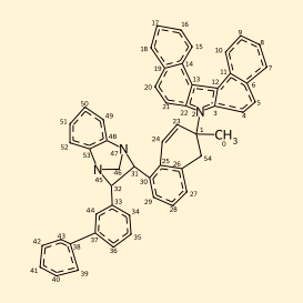 CC1(n2c3ccc4ccccc4c3c3c4ccccc4ccc32)C=Cc2c(cccc2C2C(c3cccc(-c4ccccc4)c3)N3CN2c2ccccc23)C1